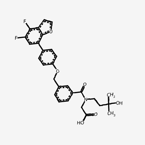 CC(C)(O)CCN(CC(=O)O)C(=O)c1cccc(COc2ccc(-c3cc(F)c(F)c4ccoc34)cc2)c1